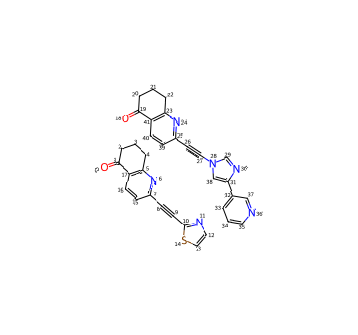 O=C1CCCc2nc(C#Cc3nccs3)ccc21.O=C1CCCc2nc(C#Cn3cnc(-c4cccnc4)c3)ccc21